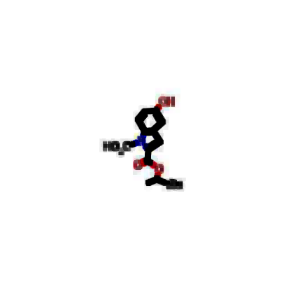 CC(OC(=O)c1cc2cc(O)ccc2n1C(=O)O)C(C)(C)C